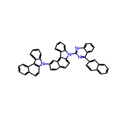 c1ccc2cc(-c3nc(-n4c5ccccc5c5c6cc(-n7c8ccccc8c8c9ccccc9ccc87)ccc6ccc54)nc4ccccc34)ccc2c1